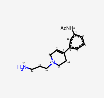 CC(=O)Nc1cccc(C2=CCN(CCCN)CC2)c1